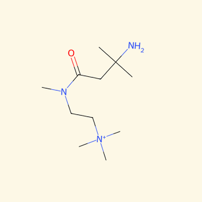 CN(CC[N+](C)(C)C)C(=O)CC(C)(C)N